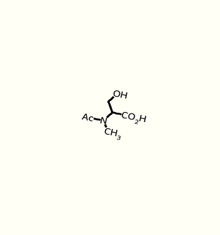 CC(=O)N(C)C(CO)C(=O)O